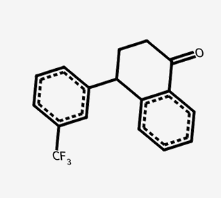 O=C1CCC(c2cccc(C(F)(F)F)c2)c2ccccc21